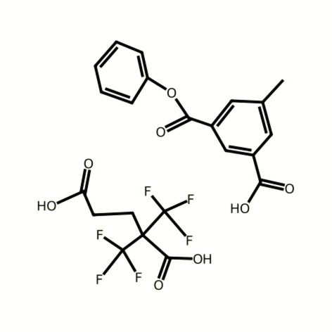 Cc1cc(C(=O)O)cc(C(=O)Oc2ccccc2)c1.O=C(O)CCC(C(=O)O)(C(F)(F)F)C(F)(F)F